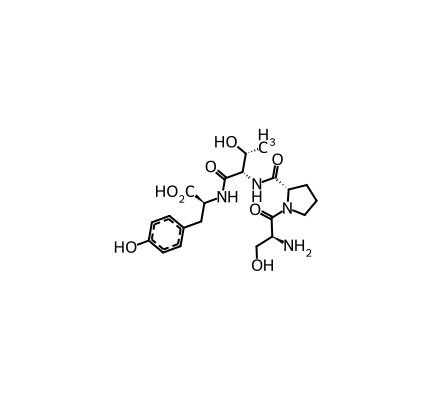 C[C@@H](O)[C@H](NC(=O)[C@@H]1CCCN1C(=O)[C@@H](N)CO)C(=O)N[C@@H](Cc1ccc(O)cc1)C(=O)O